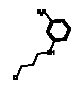 O=[N+]([O-])c1cccc(NCCCCl)c1